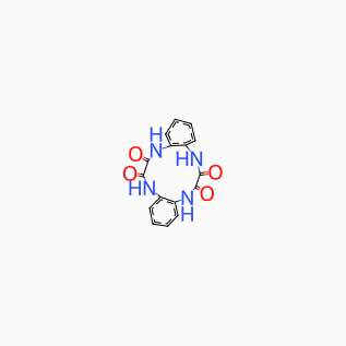 O=C1Nc2ccccc2NC(=O)C(=O)Nc2ccccc2NC1=O